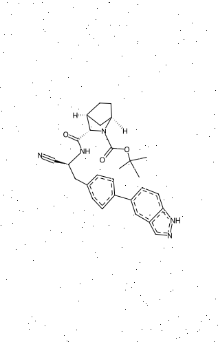 CC(C)(C)OC(=O)N1[C@@H]2CC[C@@H](C2)[C@H]1C(=O)N[C@H](C#N)Cc1ccc(-c2ccc3[nH]ncc3c2)cc1